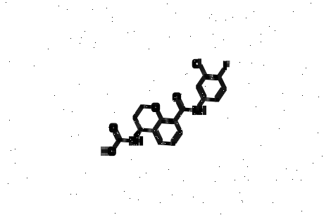 O=C(O)N[C@H]1CCOc2c(C(=O)Nc3ccc(F)c(Cl)c3)cccc21